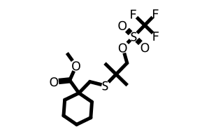 COC(=O)C1(CSC(C)(C)COS(=O)(=O)C(F)(F)F)CCCCC1